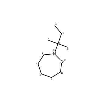 CCC(C)(C)N1CCCCC[N]1